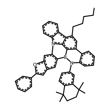 CCCCCc1cc2c3c4c1c1ccccc1n4-c1cc4oc(-c5ccccc5)cc4cc1B3N(c1ccc3c(c1)C(C)(C)CCC3(C)C)c1ccccc1-2